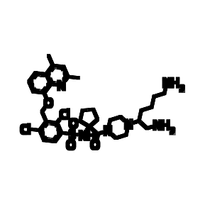 Cc1cc(C)c2cccc(OCc3c(Cl)ccc(S(=O)(=O)NC4(C(=O)N5CCN(C(CN)CCCCN)CC5)CCCC4)c3Cl)c2n1